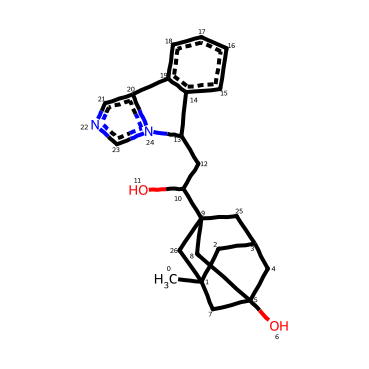 CC12CC3CC(O)(C1)CC(C(O)CC1c4ccccc4-c4cncn41)(C3)C2